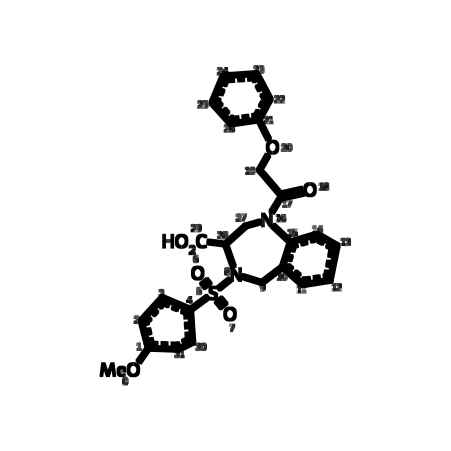 COc1ccc(S(=O)(=O)N2Cc3ccccc3N(C(=O)COc3ccccc3)CC2C(=O)O)cc1